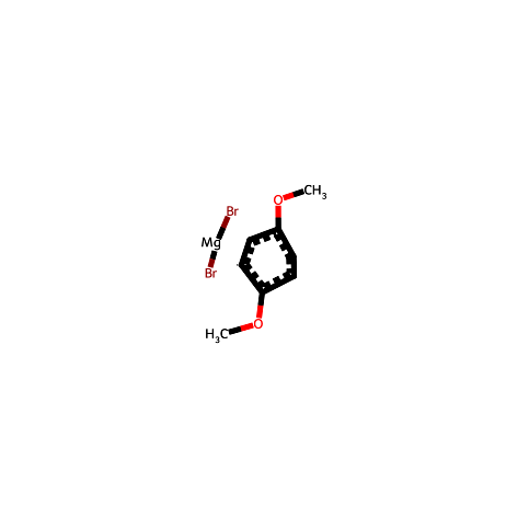 COc1[c]cc(OC)cc1.[Br][Mg][Br]